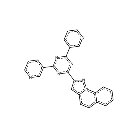 c1cncc(-c2nc(-c3cccnc3)nc(-c3cc4ccc5ccccc5n4n3)n2)c1